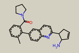 Cc1cccc(C(=O)N2CCCC2)c1-c1ccc2nc(C3CC=CC3N)ccc2c1